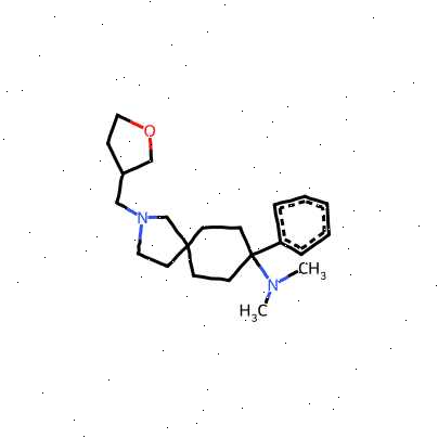 CN(C)C1(c2ccccc2)CCC2(CCN(CC3CCOC3)C2)CC1